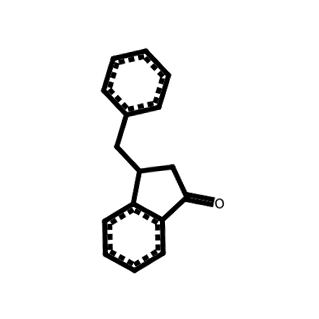 O=C1CC(Cc2ccccc2)c2ccccc21